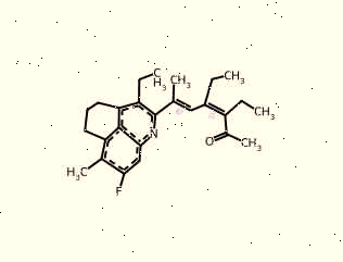 CCC(/C=C(\C)c1nc2cc(F)c(C)c3c2c(c1CC)CCC3)=C(\CC)C(C)=O